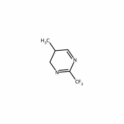 CC1C=NC(C(F)(F)F)=NC1